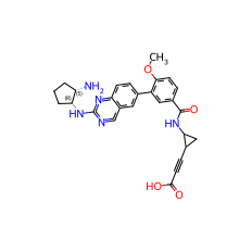 COc1ccc(C(=O)NC2CC2C#CC(=O)O)cc1-c1ccc2nc(N[C@@H]3CCC[C@@H]3N)ncc2c1